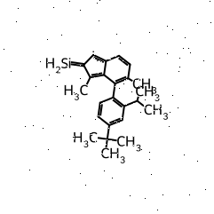 CC1=c2c(-c3ccc(C(C)(C)C)cc3C(C)C)c(C)ccc2=[C]C1=[SiH2]